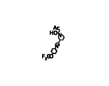 CC(=O)CC(O)N1CCCC(C2CN(c3ccc(OC(F)(F)F)cc3)C2)C1